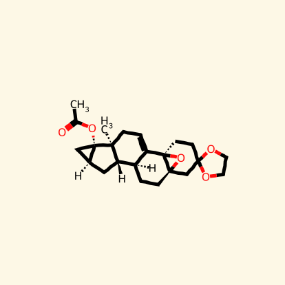 CC(=O)O[C@@]12C[C@@H]1C[C@H]1[C@@H]3CC[C@@]45CC6(CC[C@@]4(O5)C3=CC[C@@]12C)OCCO6